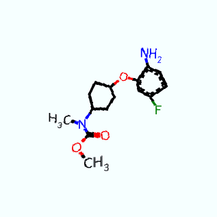 COC(=O)N(C)C1CCC(Oc2cc(F)ccc2N)CC1